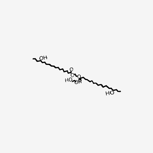 CCCC(O)CCCCCCCCCCCCCC(=O)OCCOC(=O)CCCCCCCCCCCCCC(O)CCC.OCCO